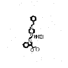 Cl.Cl.O=CC(=O)c1cn(CCN2CCN(CCc3ccccc3)CC2)c2ccccc12